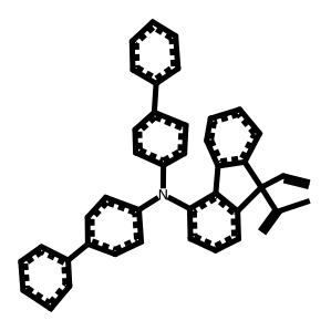 C=CC1(C(=C)C)c2ccccc2-c2c(N(c3ccc(-c4ccccc4)cc3)c3ccc(-c4ccccc4)cc3)cccc21